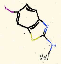 CNNc1nc2ccc(I)cc2s1